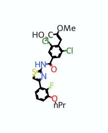 CCCOc1cccc(-c2csc(NC(=O)c3cc(Cl)c(/C=C(/OC)C(=O)O)c(Cl)c3)n2)c1F